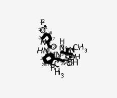 CN1CC2(C1)C(=N)N[C@](C)(c1cc(NC(=O)c3ccc(OCF)cn3)ccc1F)CS2(O)O